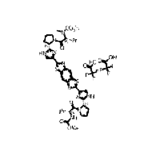 COC(=O)N[C@@H](C(=O)N1CCC[C@H]1c1nc(-c2nc3cc4sc(-c5c[nH]c([C@@H]6CCCN6C(=O)[C@@H](C(C)C)N(C)C(=O)O)n5)nc4cc3s2)c[nH]1)C(C)C.O=C(O)C(F)(F)F.O=C(O)C(F)(F)F